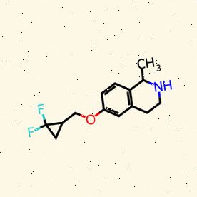 CC1NCCc2cc(OCC3CC3(F)F)ccc21